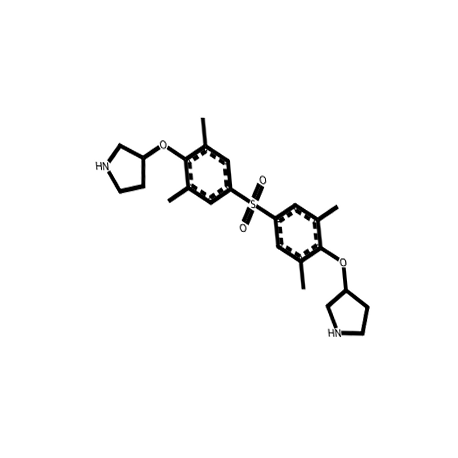 Cc1cc(S(=O)(=O)c2cc(C)c(OC3CCNC3)c(C)c2)cc(C)c1OC1CCNC1